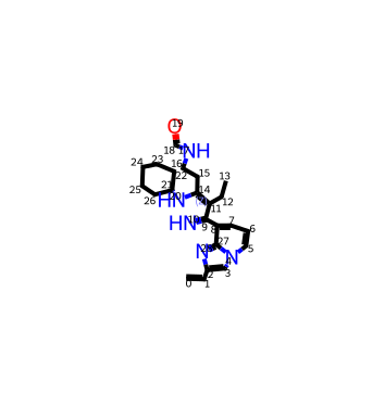 C=Cc1cn2cccc(C(=N)/C(CC)=C(/CCNC=O)NC3CCCCC3)c2n1